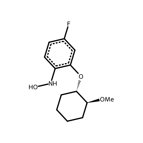 CO[C@H]1CCCC[C@@H]1Oc1cc(F)ccc1NO